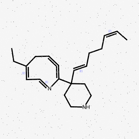 C/C=C\CC/C=C/C1(C2=C=CC/C(CC)=C\C=N\2)CCNCC1